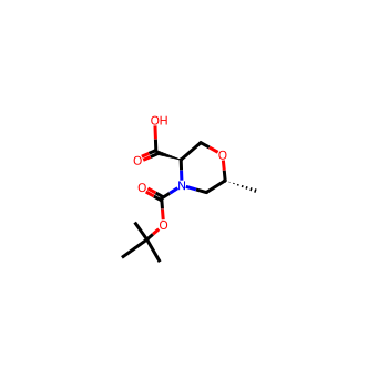 C[C@@H]1CN(C(=O)OC(C)(C)C)[C@@H](C(=O)O)CO1